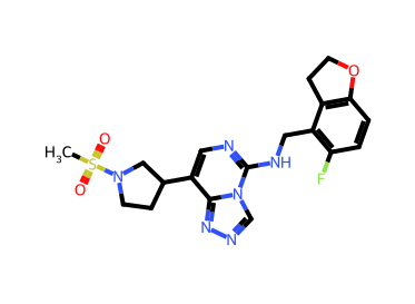 CS(=O)(=O)N1CCC(c2cnc(NCc3c(F)ccc4c3CCO4)n3cnnc23)C1